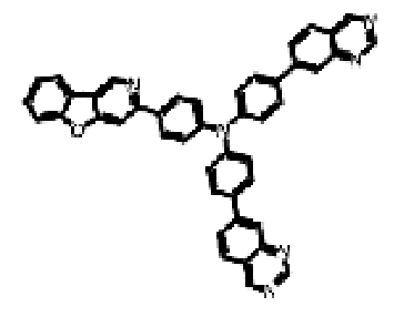 c1ccc2c(c1)oc1cc(-c3ccc(N(c4ccc(-c5ccc6cncnc6c5)cc4)c4ccc(-c5ccc6cncnc6c5)cc4)cc3)ncc12